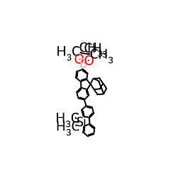 CC1(C)OB(c2ccc3c(c2)C2(c4cc(-c5ccc6c(c5)[Si](C)(C)c5ccccc5-6)ccc4-3)C3CC4CC(C3)CC2C4)OC1(C)C